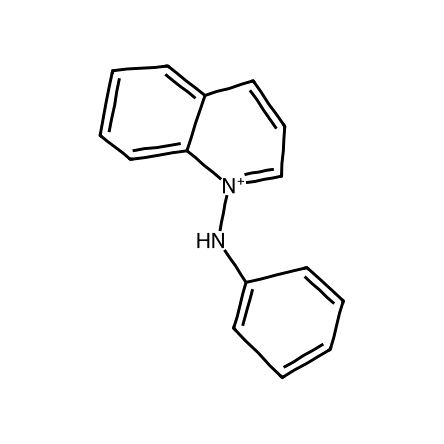 c1ccc(N[n+]2cccc3ccccc32)cc1